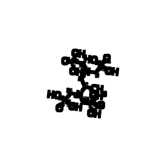 CC(CN(CP(=O)(O)O)CP(=O)(O)O)N(CP(=O)(O)O)CP(=O)(O)O